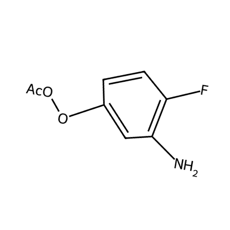 CC(=O)OOc1ccc(F)c(N)c1